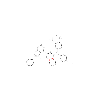 Cc1cc(-c2cc(C(C)(C)C)cc3oc(-c4ccccc4)c(C)c23)c(C)c(N(c2cc3c(cc2C)C(C)(C)CCC3(C)C)c2ccc(C(C)(C)C)cc2-c2ccccc2)c1